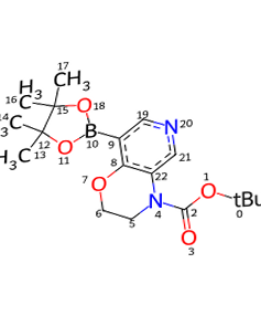 CC(C)(C)OC(=O)N1CCOc2c(B3OC(C)(C)C(C)(C)O3)cncc21